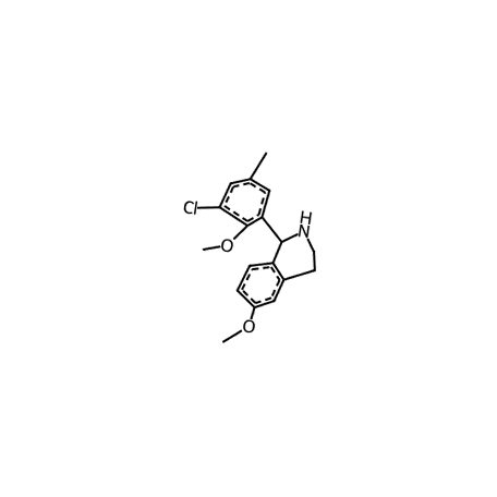 COc1ccc2c(c1)CCNC2c1cc(C)cc(Cl)c1OC